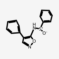 [O-][S+](Nc1oncc1-c1ccccc1)c1ccccc1